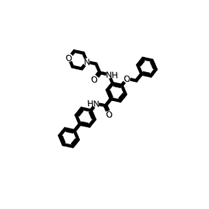 O=C(CN1CCOCC1)Nc1cc(C(=O)Nc2ccc(-c3ccccc3)cc2)ccc1OCc1ccccc1